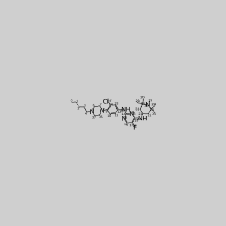 CCCCCN1CCN(c2ccc(Nc3ncc(F)c(NC4CC(C)(C)N(C)C(C)(C)C4)n3)cc2Cl)CC1